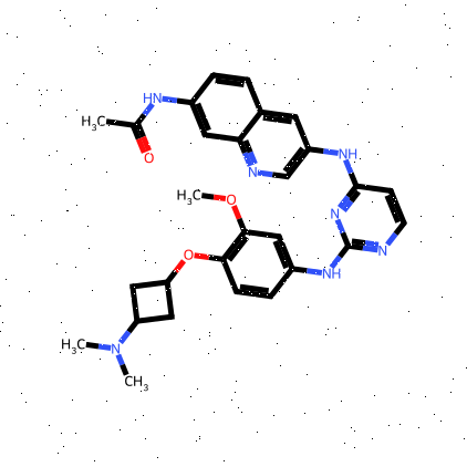 COc1cc(Nc2nccc(Nc3cnc4cc(NC(C)=O)ccc4c3)n2)ccc1OC1CC(N(C)C)C1